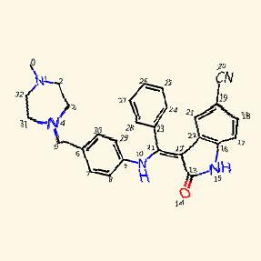 CN1CCN(Cc2ccc(N/C(=C3\C(=O)Nc4ccc(C#N)cc43)c3ccccc3)cc2)CC1